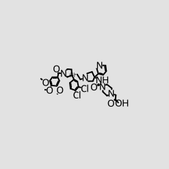 COc1cc(C(=O)N2CC[C@@](CCN3CCC(NC(=O)N4CCN(CC(=O)O)CC4)(c4cccnc4)CC3)(c3ccc(Cl)c(Cl)c3)C2)cc(OC)c1OC